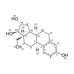 CC[C@]12CC[C@@H]3c4ccc(O)cc4CC[C@@H]3[C@@H]1C[C@@H](O)[C@@H]2O